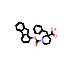 O=C(Oc1cccc2c1Cc1ccccc1-2)N1CCCC(Cc2ccccc2)(C(=O)O)C1